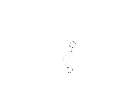 Cc1ccnc(N[C@H]2CC[C@@H](NC(=O)c3ccc(F)c(Cl)c3)CC2)c1.Cl